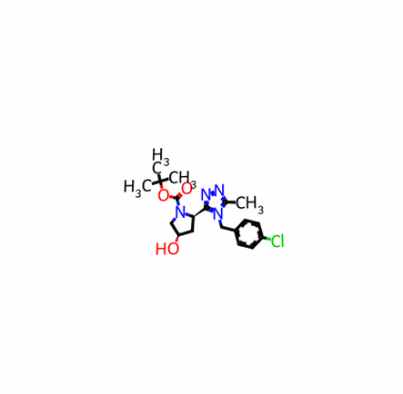 Cc1nnc([C@H]2C[C@@H](O)CN2C(=O)OC(C)(C)C)n1Cc1ccc(Cl)cc1